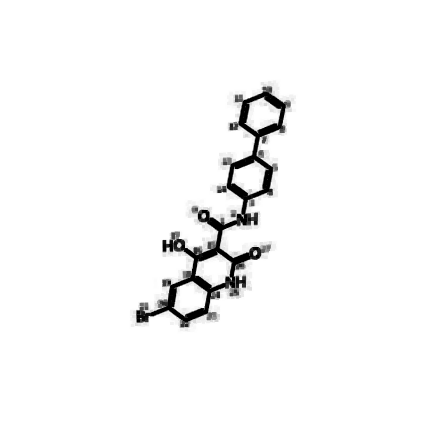 O=C(Nc1ccc(-c2ccccc2)cc1)c1c(O)c2cc(Br)ccc2[nH]c1=O